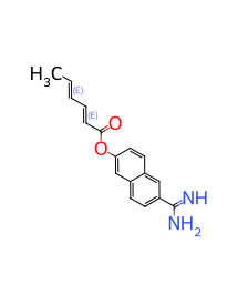 C/C=C/C=C/C(=O)Oc1ccc2cc(C(=N)N)ccc2c1